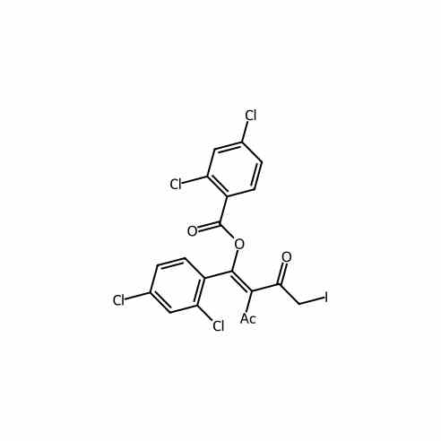 CC(=O)C(C(=O)CI)=C(OC(=O)c1ccc(Cl)cc1Cl)c1ccc(Cl)cc1Cl